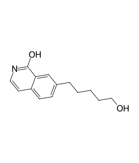 OCCCCCc1ccc2ccnc(O)c2c1